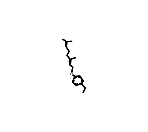 CCc1ccc(OC/C=C(\C)CCC=C(C)C)cc1